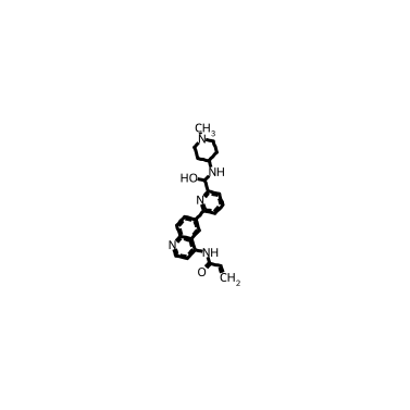 C=CC(=O)Nc1ccnc2ccc(-c3cccc(C(O)NC4CCN(C)CC4)n3)cc12